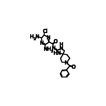 NC1=NC(N)C(Cl)N=C1C(=O)/N=C1\NCC2(CCN(C(=O)c3ccccc3)CC2)N1